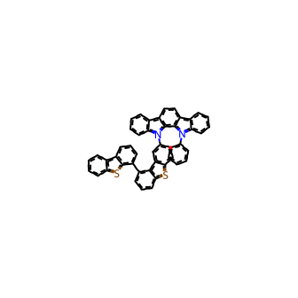 c1ccc(-n2c3ccccc3c3ccc4c5ccccc5n(-c5ccc6sc7cccc(-c8cccc9c8sc8ccccc89)c7c6c5)c4c32)cc1